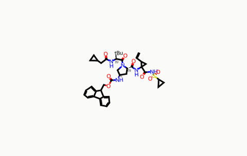 C=CC1CC1(NC(=O)[C@@H]1C[C@@H](NC(=O)OCC2c3ccccc3-c3ccccc32)CN1C(=O)[C@@H](NC(=O)CC1CC1)C(C)(C)C)C(=O)NS(=O)(=O)C1CC1